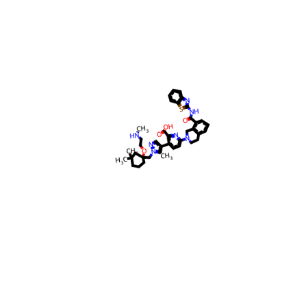 CNCCOC1(Cn2ncc(-c3ccc(N4CCc5cccc(C(=O)Nc6nc7ccccc7s6)c5C4)nc3C(=O)O)c2C)CCCC(C)(C)C1